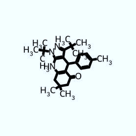 Cc1ccc(C2C3=C(CC(C)(C)CC3=O)Nc3c2c(C(C)(C)C)nn3C(C)(C)C)cc1